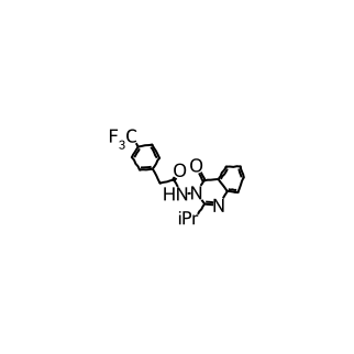 CC(C)c1nc2ccccc2c(=O)n1NC(=O)Cc1ccc(C(F)(F)F)cc1